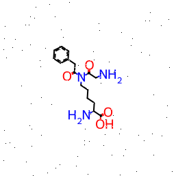 NCC(=O)N(CCCC[C@H](N)C(=O)O)C(=O)Cc1ccccc1